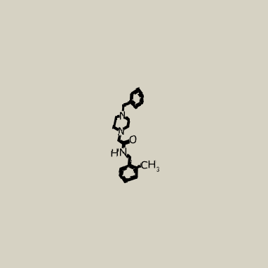 Cc1ccccc1CNC(=O)CN1CCN(Cc2ccccc2)CC1